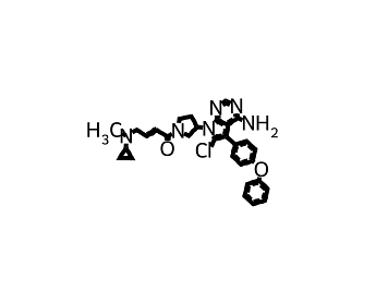 CN(C/C=C/C(=O)N1CCC(n2c(Cl)c(-c3ccc(Oc4ccccc4)cc3)c3c(N)ncnc32)C1)C1CC1